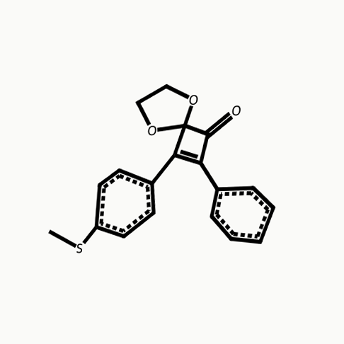 CSc1ccc(C2=C(c3ccccc3)C(=O)C23OCCO3)cc1